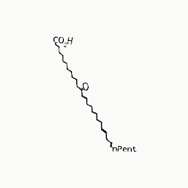 CCCCCC=CCC=CCCCCCCCCC(=O)CCCCCCCCCCCC(=O)O